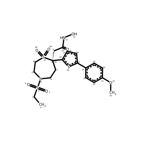 CCS(=O)(=O)N1CC[C@](CC(=O)NO)(c2ccc(-c3ccc(OC)cc3)s2)S(=O)(=O)CC1